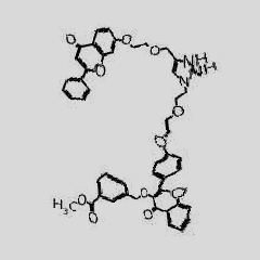 COC(=O)c1cccc(COc2c(-c3ccc(OCCOCCN4C=C(COCCOc5ccc6c(=O)cc(-c7ccccc7)oc6c5)NN4)cc3)oc3ccccc3c2=O)c1